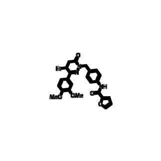 CCC1CC(=O)N(Cc2ccc(NC(=O)c3ccco3)cc2)N=C1c1ccc(OC)c(OC)c1